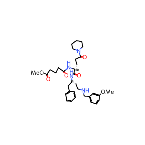 COC(=O)CCCC(=O)N[C@H](CCC(=O)N1CCCCC1)C(=O)N[C@H](CCNCc1cccc(OC)c1)Cc1ccccc1